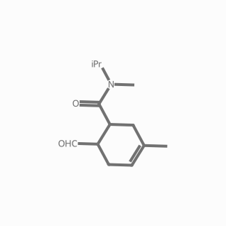 CC1=CCC(C=O)C(C(=O)N(C)C(C)C)C1